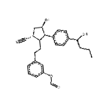 CCCC(O)c1ccc(C2C(CCc3cccc(OC=O)c3)[C@H](C#N)C[C@H]2O)cc1